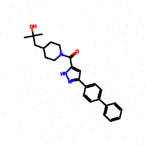 CC(C)(O)CC1CCN(C(=O)c2cc(-c3ccc(-c4ccccc4)cc3)n[nH]2)CC1